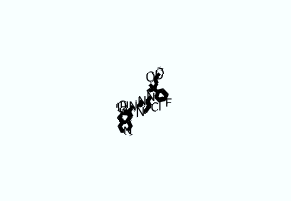 COC(=O)CC1(C)CN(c2nc(Nc3cc4c(cc3OC)CCN(C)C4)ncc2Cl)c2cc(F)ccc21